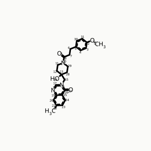 COc1ccc(CCC(=O)N2CCC(O)(Cn3cnc4cc(C)ccc4c3=O)CC2)cc1